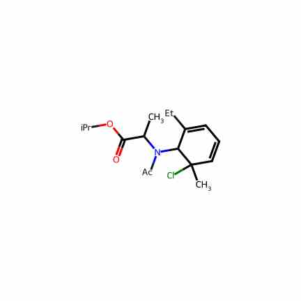 CCC1=CC=CC(C)(Cl)C1N(C(C)=O)C(C)C(=O)OC(C)C